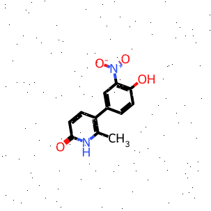 Cc1[nH]c(=O)ccc1-c1ccc(O)c([N+](=O)[O-])c1